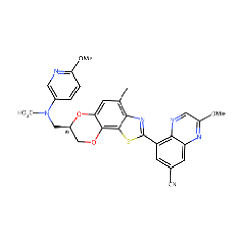 COc1ccc(N(C[C@@H]2COc3c(cc(C)c4nc(-c5cc(C#N)cc6nc(OC)cnc56)sc34)O2)C(=O)O)cn1